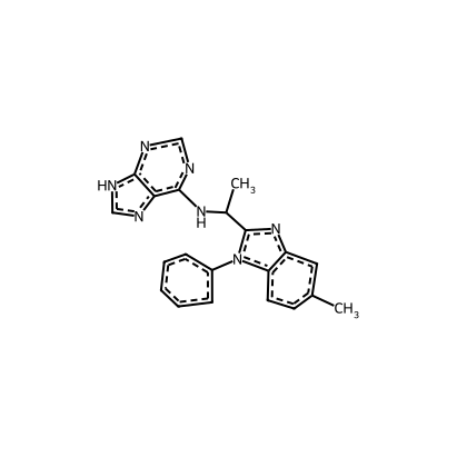 Cc1ccc2c(c1)nc(C(C)Nc1ncnc3[nH]cnc13)n2-c1ccccc1